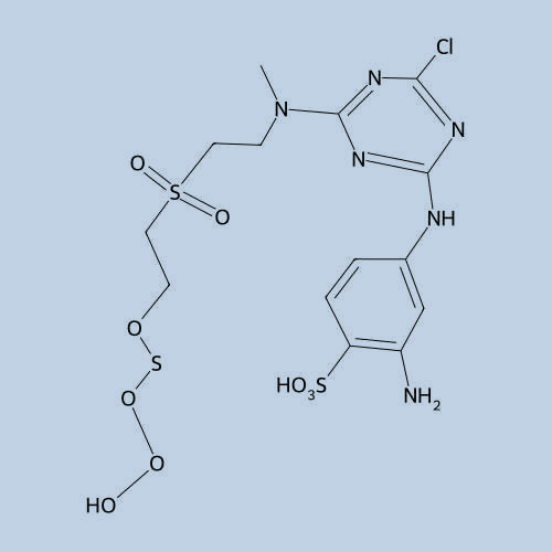 CN(CCS(=O)(=O)CCOSOOO)c1nc(Cl)nc(Nc2ccc(S(=O)(=O)O)c(N)c2)n1